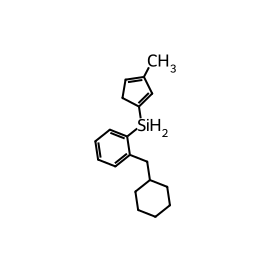 CC1=CCC([SiH2]c2ccccc2CC2CCCCC2)=C1